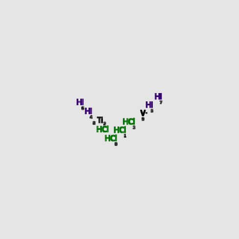 Cl.Cl.Cl.Cl.I.I.I.I.[Ti].[V]